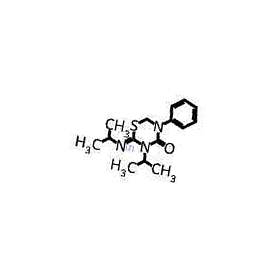 CC(C)/N=C1\SCN(c2ccccc2)C(=O)N1C(C)C